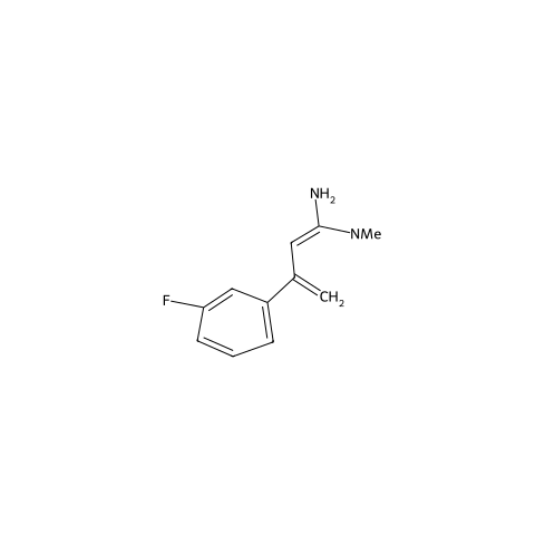 C=C(/C=C(/N)NC)c1cccc(F)c1